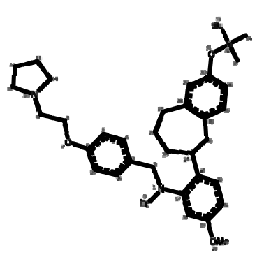 CCN(Cc1ccc(OCCN2CCCC2)cc1)c1cc(OC)ccc1C1CCCc2cc(O[Si](C)(C)C(C)(C)C)ccc2C1